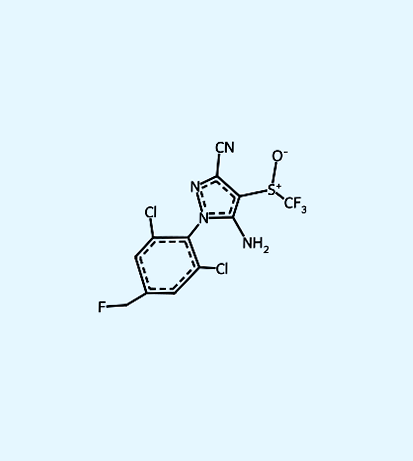 N#Cc1nn(-c2c(Cl)cc(CF)cc2Cl)c(N)c1[S+]([O-])C(F)(F)F